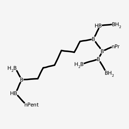 BBB(CCCCCCB(B)BCCCCC)B(CCC)B(B)B